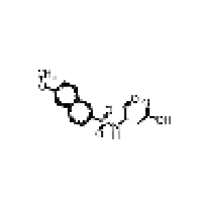 COc1ccc2cc(S(=O)(=O)N[C@H]([C]=O)CC(=O)O)ccc2c1